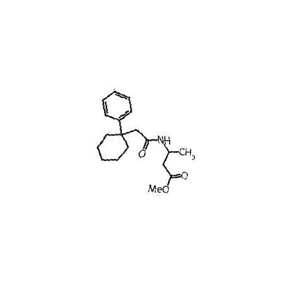 COC(=O)CC(C)NC(=O)CC1(c2cc[c]cc2)CCCCC1